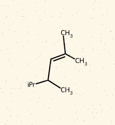 CC(C)=CC(C)C(C)C